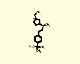 CC[C@@H]1CCC(N(C)CCc2ccc(C(C)(C)C)cc2)C1